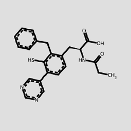 CCC(=O)N[C@@H](Cc1ccc(-c2cncnc2)c(S)c1Cc1ccccc1)C(=O)O